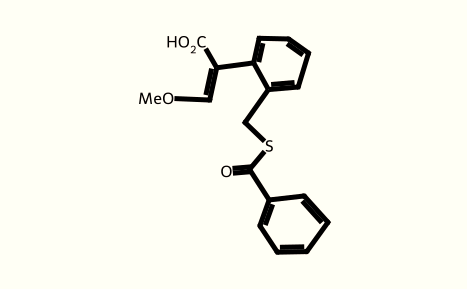 COC=C(C(=O)O)c1ccccc1CSC(=O)c1ccccc1